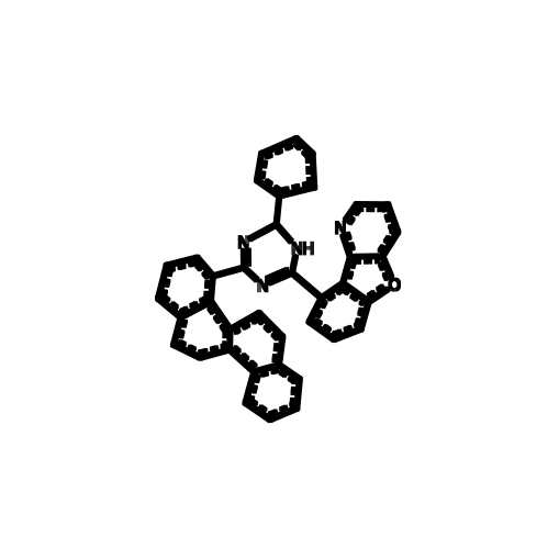 c1ccc(C2N=C(c3cccc4ccc5c6ccccc6ccc5c34)N=C(c3cccc4oc5cccnc5c34)N2)cc1